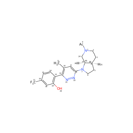 CC(=O)N1CC[C@H]2CCN(c3cc(C)c(-c4ccc(C(F)(F)F)cc4O)nn3)[C@H]2C1